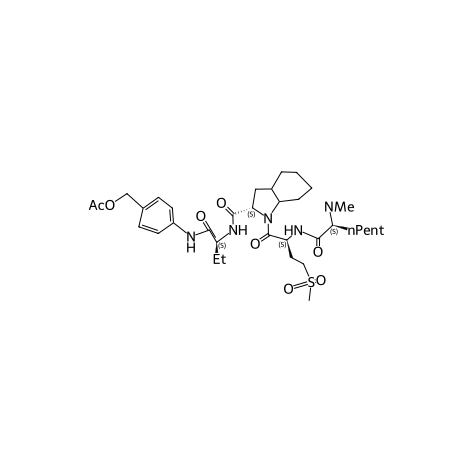 CCCCC[C@H](NC)C(=O)N[C@@H](CCS(C)(=O)=O)C(=O)N1C2CCCCC2C[C@H]1C(=O)N[C@@H](CC)C(=O)Nc1ccc(COC(C)=O)cc1